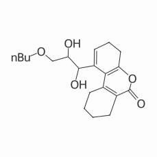 CCCCOCC(O)C(O)C1=CCCc2oc(=O)c3c(c21)CCCC3